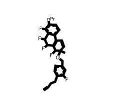 C=CCCc1ccc(COC2(C)C=CC3=C(C(F)C(F)c4c3ccc(CCC)c4F)C2F)cc1F